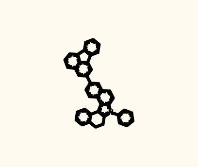 c1ccc(-n2c3c(c4c5ccc(-c6cc7c8c(cccc8c6)-c6ccccc6-7)cc5ccc42)-c2ccccc2CC3)cc1